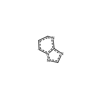 [c]1ccnc2ncnn12